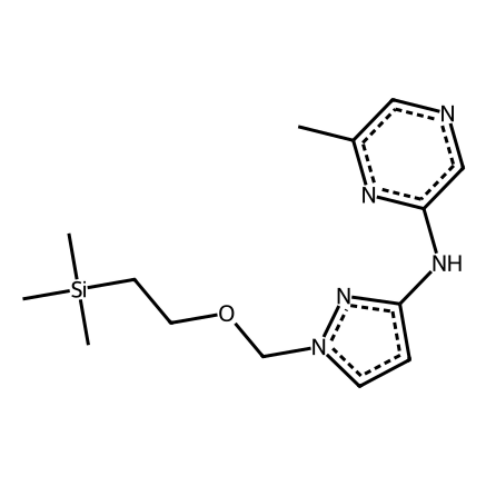 Cc1cncc(Nc2ccn(COCC[Si](C)(C)C)n2)n1